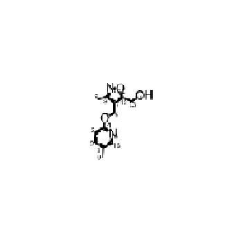 Cc1ccc(OCc2c(C)noc2CO)nc1